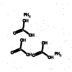 O=S(O)O.O=S(O)O.O=S(O)O.P.P